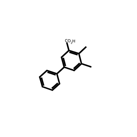 Cc1cc(-c2ccccc2)cc(C(=O)O)c1C